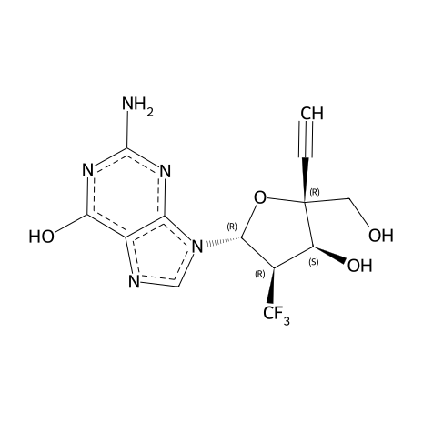 C#C[C@]1(CO)O[C@@H](n2cnc3c(O)nc(N)nc32)[C@H](C(F)(F)F)[C@@H]1O